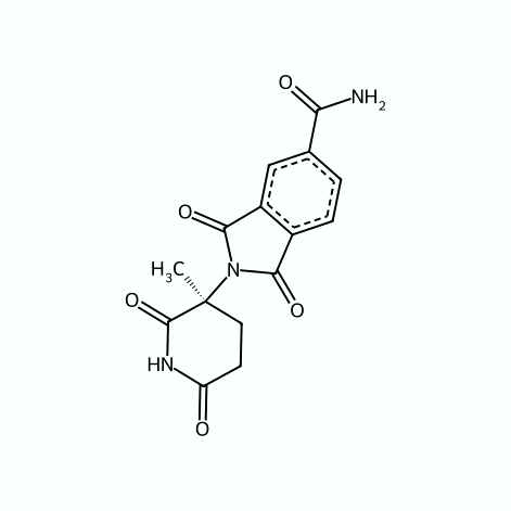 C[C@]1(N2C(=O)c3ccc(C(N)=O)cc3C2=O)CCC(=O)NC1=O